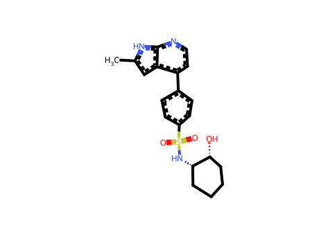 Cc1cc2c(-c3ccc(S(=O)(=O)N[C@H]4CCCC[C@H]4O)cc3)ccnc2[nH]1